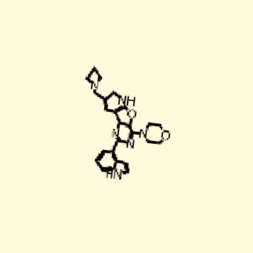 c1cc(C2=NC3C4=C(NCC(CN5CCC5)C4)OC3C(N3CCOCC3)=N2)c2cc[nH]c2c1